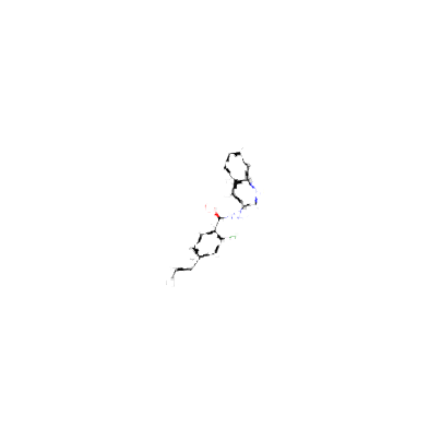 O=C(Nc1cnc2ccccc2c1)c1ccc(C=CC(F)(F)F)cc1F